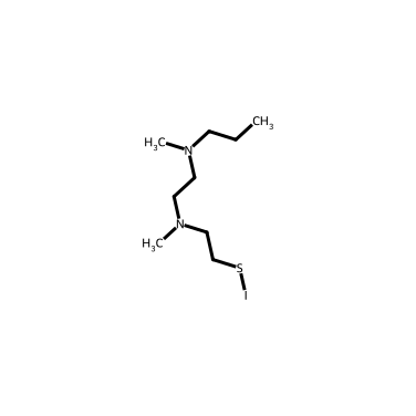 CCCN(C)CCN(C)CCSI